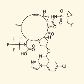 C[C@H]1CC/C=C\[C@@H]2C[C@@]2(C(=O)NS(=O)(=O)C2(CF)CC2)NC(=O)[C@@H]2C[C@@H](Oc3nc4nccn4c4ccc(Cl)cc34)CN2C(=O)[C@@H](N(C(=O)O)C(C)(C)C(F)(F)F)[C@H](C)C1